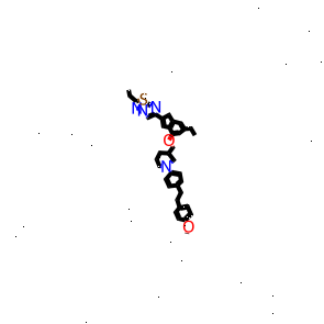 CCc1cc2c(c(OCC3CCCN(c4ccc(CCc5ccc(OC)cc5)cc4)C3)c1)C=C(c1cn3nc(CC)sc3n1)C2